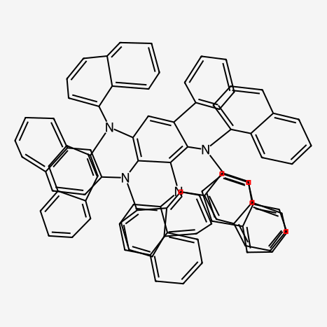 c1ccc(-c2cc(N(c3ccc4ccccc4c3)c3cccc4ccccc34)c(N(c3ccc4ccccc4c3)c3cccc4ccccc34)c(N(c3ccc4ccccc4c3)c3cccc4ccccc34)c2N(c2ccc3ccccc3c2)c2cccc3ccccc23)cc1